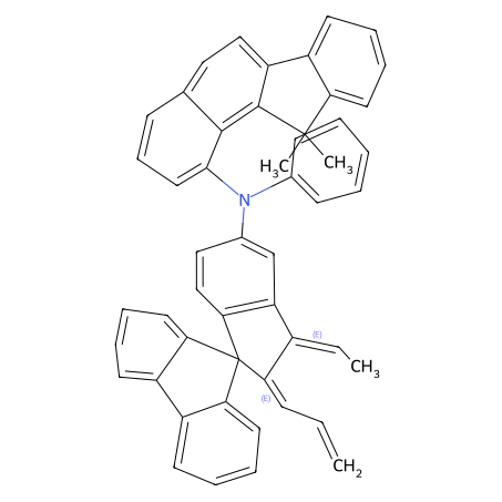 C=C/C=C1\C(=C/C)c2cc(N(c3ccccc3)c3cccc4ccc5c(c34)C(C)(C)c3ccccc3-5)ccc2C12c1ccccc1-c1ccccc12